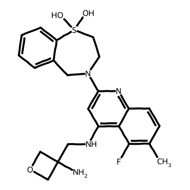 Cc1ccc2nc(N3CCS(O)(O)c4ccccc4C3)cc(NCC3(N)COC3)c2c1F